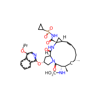 CC(C)Oc1cnc(O[C@@H]2C[C@H]3C(=O)N[C@]4(C(=O)NS(=O)(=O)C5CC5)C[C@H]4/C=C\CC[C@H](C)C[C@@H](C)[C@H](NC(=O)O)C(=O)N3C2)c2ccccc12